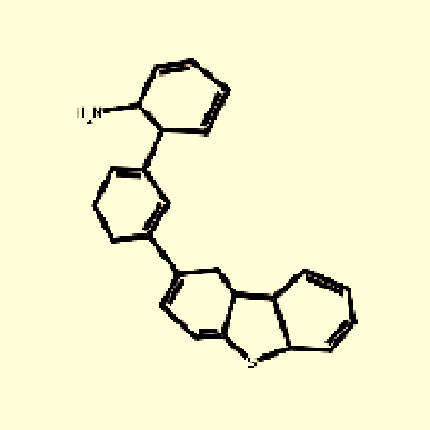 NC1C=CC=CC1C1=CCCC(C2=CC=C3SC4C=CC=CC4C3C2)=C1